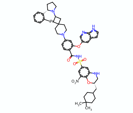 CC(C)c1ccccc1[C@@H]1CCCN1C1CC2(CCN(c3ccc(C(=O)NS(=O)(=O)c4cc5c(c([N+](=O)[O-])c4)O[C@@H](CC4CCC(C)(C)CC4)CN5)c(Oc4cnc5[nH]ccc5c4)c3)CC2)C1